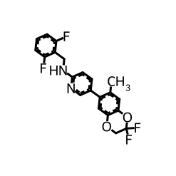 Cc1cc2c(cc1-c1ccc(NCc3c(F)cccc3F)nc1)OCC(F)(F)O2